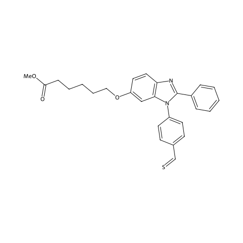 COC(=O)CCCCCOc1ccc2nc(-c3ccccc3)n(-c3ccc(C=S)cc3)c2c1